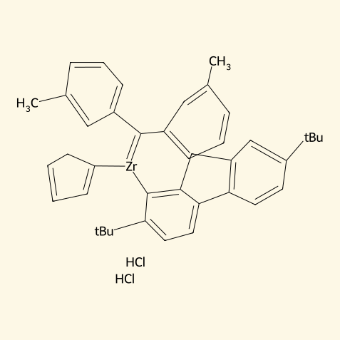 Cc1cccc([C](c2cccc(C)c2)=[Zr]([C]2=CC=CC2)[c]2c(C(C)(C)C)ccc3c2Cc2cc(C(C)(C)C)ccc2-3)c1.Cl.Cl